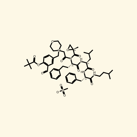 CC(C)CCNC(=O)[C@H](Cc1ccccc1)NC(=O)[C@H](CC(C)C)NC(=O)[C@H](CCc1ccccc1)N(C(=O)C[N+]1(Cc2ccc(OC(=O)C(C)(C)C)c(C=O)c2)CCOCC1)C(=O)[C@@]1(C)CO1.CS(=O)(=O)[O-]